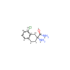 NC(=O)C1(N)CCc2cccc(Cl)c2C1